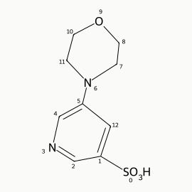 O=S(=O)(O)c1cncc(N2CCOCC2)c1